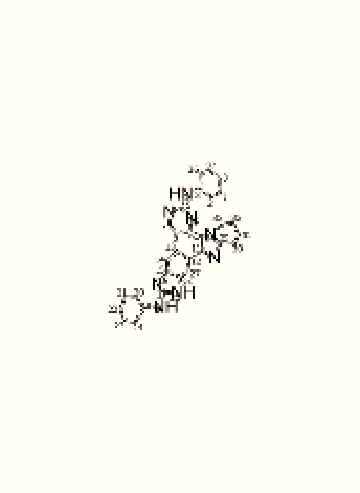 c1ccc(Nc2nccc(-c3c(-c4ccc5nc(Nc6ccccc6)[nH]c5c4)nc4ccccn34)n2)cc1